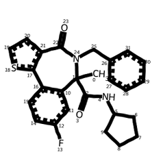 CC1(C(=O)NC2CCCC2)c2cc(F)ccc2-c2sccc2C(=O)N1Cc1ccccc1